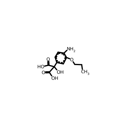 CCCOc1cc(C(O)(C(=O)O)C(=O)O)ccc1N